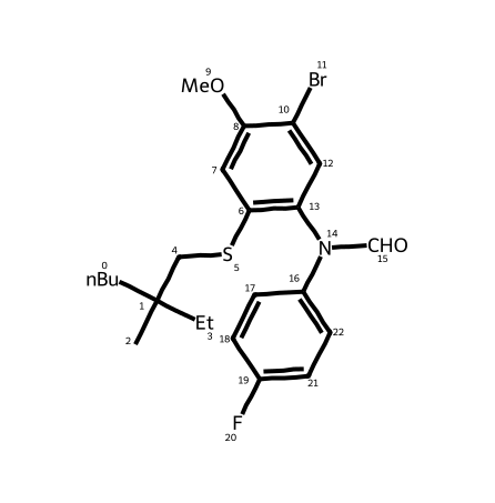 CCCCC(C)(CC)CSc1cc(OC)c(Br)cc1N(C=O)c1ccc(F)cc1